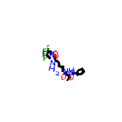 Cc1oc(-c2ccccc2)nc1C(=O)NCCCC[C@H](N)C(=O)N1CC(F)(F)C(F)(F)C1